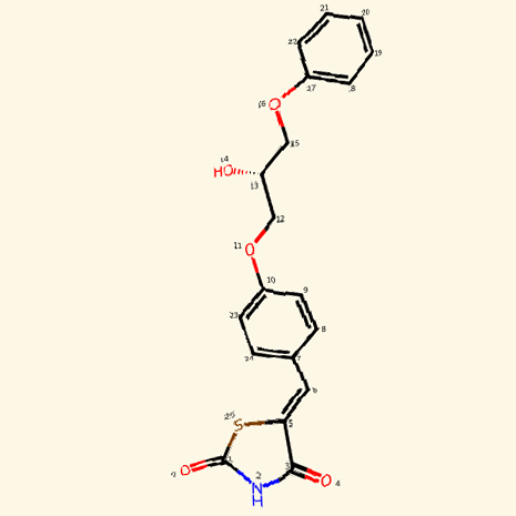 O=C1NC(=O)C(=Cc2ccc(OC[C@H](O)COc3ccccc3)cc2)S1